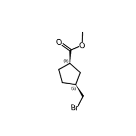 COC(=O)[C@@H]1CC[C@H](CBr)C1